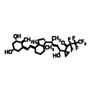 C=C1/C(=C\C=C2/CCC[C@]3(C)[C@@H]([C@H](C)/C=C/[C@@H](O)C4(C(=O)C(F)(F)C(F)(F)C(F)(F)F)CC4)CC[C@@H]23)C[C@@H](O)C[C@@H]1O